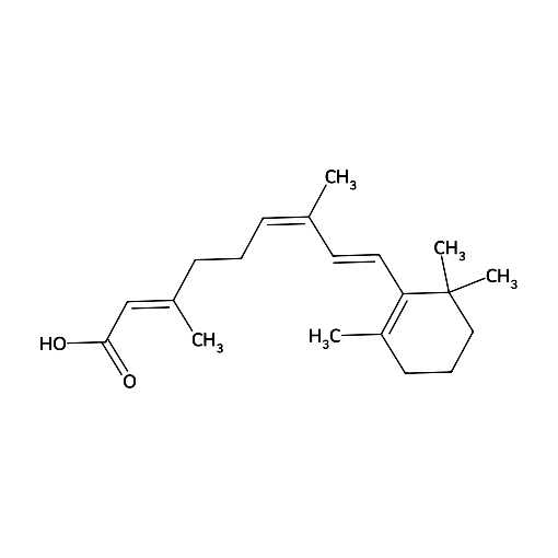 CC1=C(/C=C/C(C)=C\CC/C(C)=C/C(=O)O)C(C)(C)CCC1